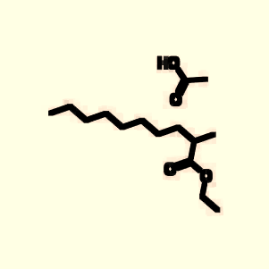 CC(=O)O.CCCCCCCCC(C)C(=O)OCC